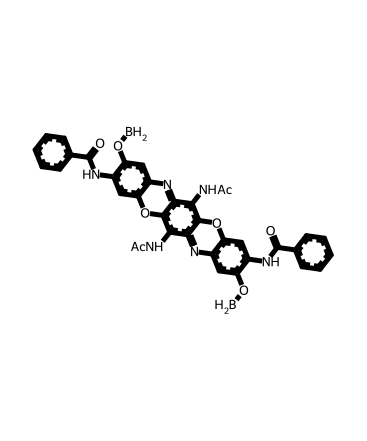 BOc1cc2c(cc1NC(=O)c1ccccc1)Oc1c(NC(C)=O)c3c(c(NC(C)=O)c1=N2)Oc1cc(NC(=O)c2ccccc2)c(OB)cc1N=3